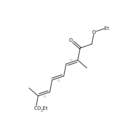 CCOCC(=O)/C(C)=C/C=C/C=C(\C)C(=O)OCC